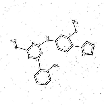 CNc1nc(Nc2ccc(-c3cnco3)c(OC)c2)nc(-c2ccccc2C)n1